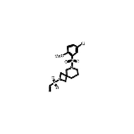 C=CS(=O)(=O)N1CC2(CCCN(S(=O)(=O)c3cc(Cl)ccc3OC)C2)C1